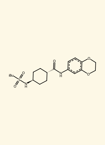 CCC(C)S(=O)(=O)N[C@H]1CC[C@H](C(=O)Nc2ccc3c(c2)OCCO3)CC1